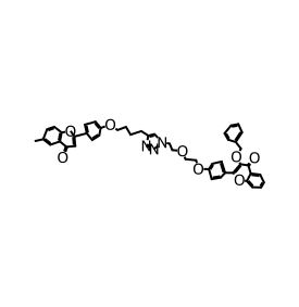 Cc1ccc2oc(-c3ccc(OCCCCc4cn(CCOCCOc5ccc(-c6oc7ccccc7c(=O)c6OCc6ccccc6)cc5)nn4)cc3)cc(=O)c2c1